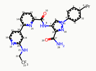 CC(C)c1ccc(-n2cc(NC(=O)c3cccc(-c4ccnc(NCC(F)(F)F)c4)n3)c(C(N)=O)n2)cc1